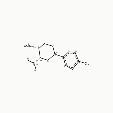 CN[C@@H]1CCN(c2ccc(Cl)cc2)C[C@@H]1N(C)C